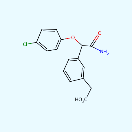 NC(=O)C(Oc1ccc(Cl)cc1)c1cccc(CC(=O)O)c1